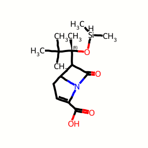 C[SiH](C)O[C@](C)(C1C(=O)N2C(C(=O)O)=CCC12)C(C)(C)C